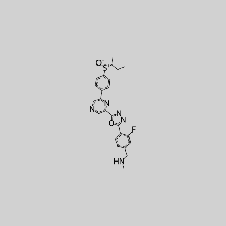 CCC(C)[S+]([O-])c1ccc(-c2cncc(-c3nnc(-c4ccc(CNC)cc4F)o3)n2)cc1